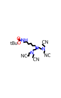 [C-]#[N+]CCN(CCC#N)CCN(CCCCCCNC(=O)OC(C)(C)C)CCN(CCC#N)CCC#N